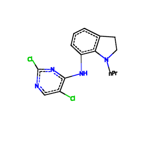 CCCN1CCc2cccc(Nc3nc(Cl)ncc3Cl)c21